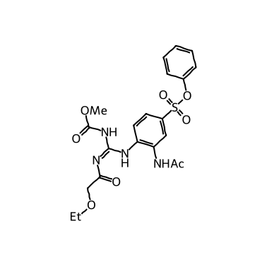 CCOCC(=O)/N=C(/NC(=O)OC)Nc1ccc(S(=O)(=O)Oc2ccccc2)cc1NC(C)=O